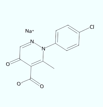 Cc1c(C(=O)[O-])c(=O)cnn1-c1ccc(Cl)cc1.[Na+]